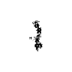 Cc1c2c(nn1CC(=O)N1Cc3ccc(N4CCN(C(=O)O)CC4)cc3C1)CN(c1ccc(C#N)c3ncccc13)C2